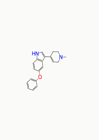 CN1CC=C(c2c[nH]c3ccc(Oc4ccccc4)cc23)CC1